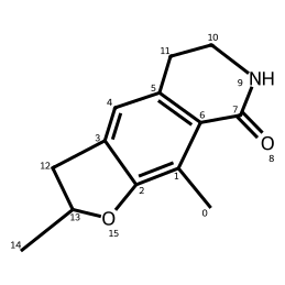 Cc1c2c(cc3c1C(=O)NCC3)CC(C)O2